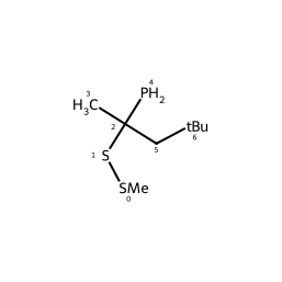 CSSC(C)(P)CC(C)(C)C